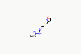 CSC(=N)NC#[N+]CCSCc1ccon1